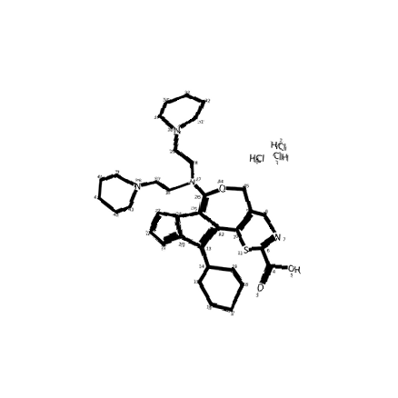 Cl.Cl.Cl.O=C(O)C1=NCC2=C(S1)C1=C(C3CCCCC3)C3=CC=CC3C1=C(N(CCN1CCCCC1)CCN1CCCCC1)OC2